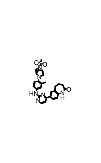 Cc1cc(Nc2nccc(-c3ccc4c(c3)CCCC(=O)N4)n2)ccc1N1CC2CC1CN2S(C)(=O)=O